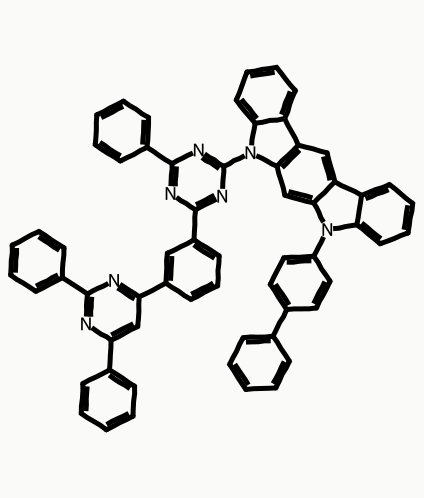 c1ccc(-c2ccc(-n3c4ccccc4c4cc5c6ccccc6n(-c6nc(-c7ccccc7)nc(-c7cccc(-c8cc(-c9ccccc9)nc(-c9ccccc9)n8)c7)n6)c5cc43)cc2)cc1